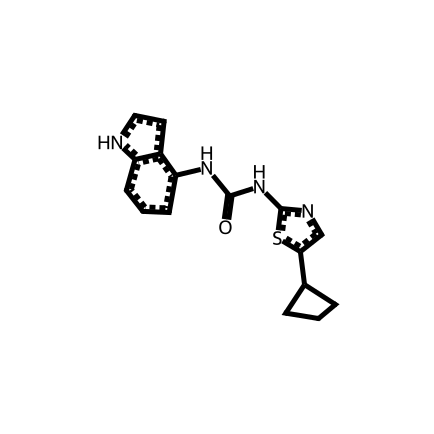 O=C(Nc1ncc(C2CCC2)s1)Nc1cccc2[nH]ccc12